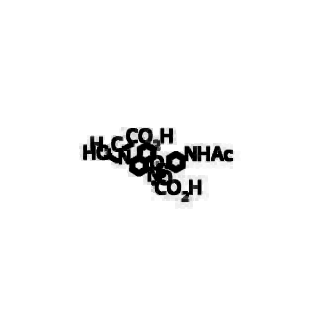 C#CCN(c1ccc(N(CC(=O)O)S(=O)(=O)c2ccc(NC(C)=O)cc2)c2ccccc12)[C@@H](C)CC(=O)O